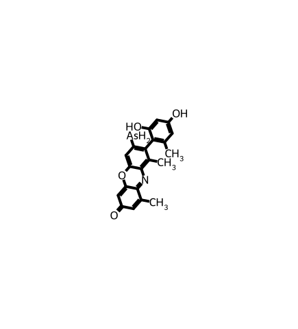 Cc1cc(=O)cc2oc3cc([AsH2])c(-c4c(C)cc(O)cc4O)c(C)c3nc1-2